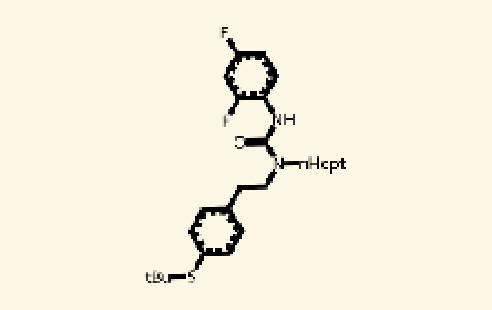 CCCCCCCN(CCc1ccc(SC(C)(C)C)cc1)C(=O)Nc1ccc(F)cc1F